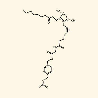 CCCCCCCC(=O)CC[C@@H]1[C@@H](C/C=C\CCCC(=O)NCC(=O)OCc2ccc(CO[N+](=O)[O-])cc2)[C@@H](O)C[C@H]1O